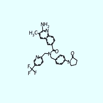 Cc1cc2cc(C(=O)N(Cc3ccc(N4CCCC4=O)cc3)Cc3ccc(C(F)(F)F)cn3)ccc2nc1N